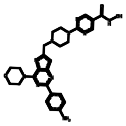 Nc1ccc(-c2nc(N3CCOCC3)c3sc(CN4CCN(c5ncc(C(=O)NO)cn5)CC4)cc3n2)cc1